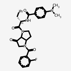 CC(C)C[C@H](NC(=O)c1ccc(N(C)C)cc1)C(=O)N1CCC2C1C(=O)CN2C(=O)c1ccccc1F